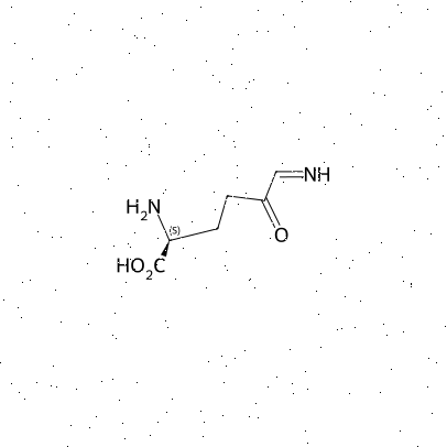 N=CC(=O)CC[C@H](N)C(=O)O